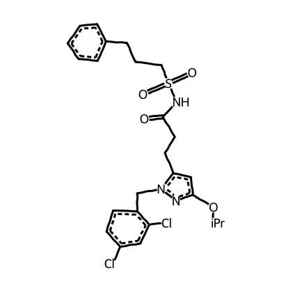 CC(C)Oc1cc(CCC(=O)NS(=O)(=O)CCCc2ccccc2)n(Cc2ccc(Cl)cc2Cl)n1